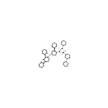 c1ccc(-c2cccc(-c3nc(-c4ccccc4)nc(-c4ccc(-n5c6ccccc6c6c7sc8ccccc8c7ccc65)c5oc6ccccc6c45)n3)c2)cc1